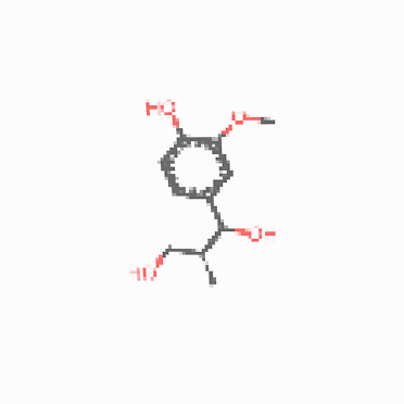 COc1cc(C(O)[C@@H](C)CO)ccc1O